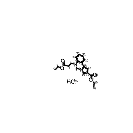 CCOC(=O)CCN1Cn2cc(C(=O)OCC)cc2-c2ccccc21.Cl